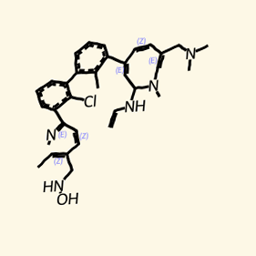 C=CNC1\C=C(c2cccc(-c3cccc(C(/C=C\C(=C\C)CNO)=N/C)c3Cl)c2C)/C=C\C(CN(C)C)=C/N1C